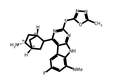 CNc1cc(F)cc2c1[nH]c1nc(Sc3nnc(C)o3)nc(C3C[C@H]4C[C@@H]3C[C@H]4N)c12